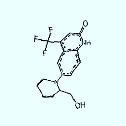 O=c1cc(C(F)(F)F)c2cc(N3CCCCC3CO)ccc2[nH]1